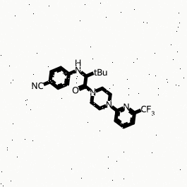 CC(C)(C)C(Nc1ccc(C#N)cc1)C(=O)N1CCN(c2cccc(C(F)(F)F)n2)CC1